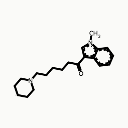 Cn1cc(C(=O)CCCCCN2CC[CH]CC2)c2ccccc21